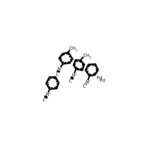 [C-]#[N+]c1ccc(C)cc1.[C-]#[N+]c1ccc(C)cc1.[C-]#[N+]c1ccccc1.[C-]#[N+]c1ccccc1.[Pd].[Pd]